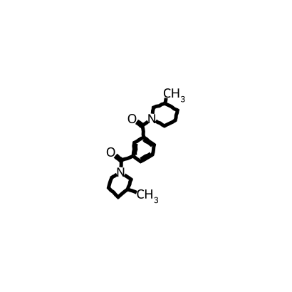 CC1CCCN(C(=O)c2cccc(C(=O)N3CCCC(C)C3)c2)C1